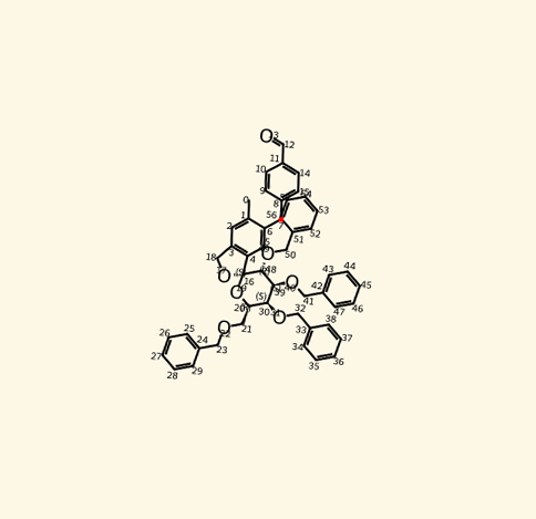 Cc1cc2c(cc1Cc1ccc(C=O)cc1)[C@]1(OC2)O[C@H](COCc2ccccc2)[C@H](OCc2ccccc2)[C@H](OCc2ccccc2)[C@H]1OCc1ccccc1